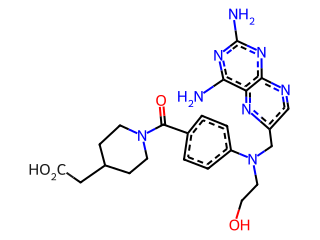 Nc1nc(N)c2nc(CN(CCO)c3ccc(C(=O)N4CCC(CC(=O)O)CC4)cc3)cnc2n1